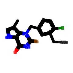 CNCc1cc(Cn2c(=S)[nH]c(=O)c3[nH]cc(C)c32)ccc1Cl